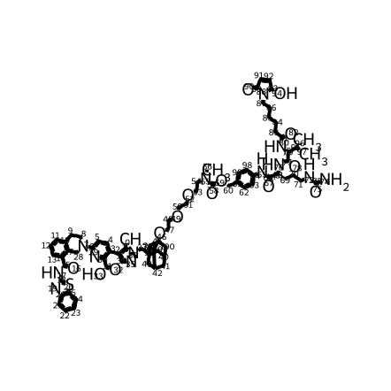 Cc1c(-c2ccc(N3CCc4cccc(C(=O)Nc5nc6ccccc6s5)c4C3)nc2C(=O)O)cnn1CC12CC3CC(C1)CC(OCCOCCOCCN(C)C(=O)OCc1ccc(NC(=O)[C@H](CCCNC(N)=O)NC(=O)[C@@H](NC(=O)CCCCCN4C(=O)C=CC4O)C(C)C)cc1)(C3)C2